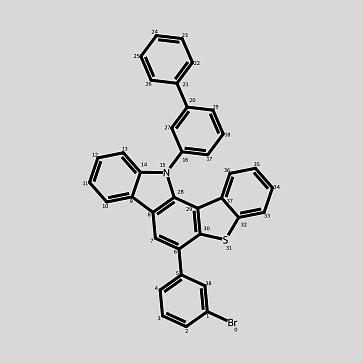 Brc1cccc(-c2cc3c4ccccc4n(-c4cccc(-c5ccccc5)c4)c3c3c2sc2ccccc23)c1